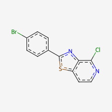 Clc1nccc2sc(-c3ccc(Br)cc3)nc12